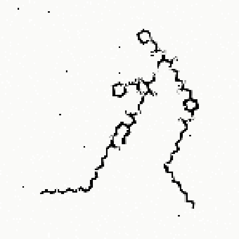 C=C/C=C(\C=C/COC(=O)CCCCCCC/C=C\CCCCCCCC)CC(=O)OCCOC(=O)C(CSSCC(NC(=O)CN1CCCCC1)C(=O)OCCOC(=O)Cc1ccc(OC(=O)CCCCCCC/C=C\CCCCCCCC)cc1)NC(=O)CN1CCCCC1